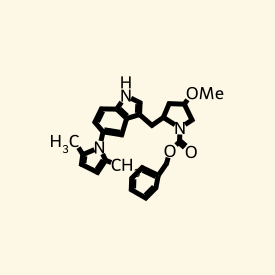 COC1CC(Cc2c[nH]c3ccc(-n4c(C)ccc4C)cc23)N(C(=O)OCc2ccccc2)C1